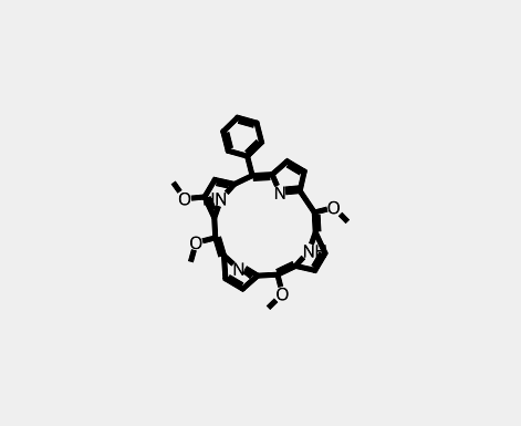 COc1c2nc(c(-c3ccccc3)c3cc(OC)c([nH]3)c(OC)c3nc(c(OC)c4ccc1[nH]4)C=C3)C=C2